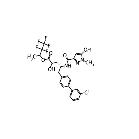 CC(OC(=O)[C@H](O)C[C@@H](Cc1ccc(-c2cccc(Cl)c2)cc1)NC(=O)c1cc(O)n(C)n1)C(F)(F)C(F)(F)F